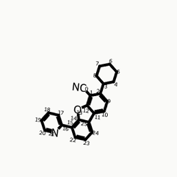 N#Cc1c(C2CCCCC2)ccc2c1oc1c(-c3ccccn3)cccc12